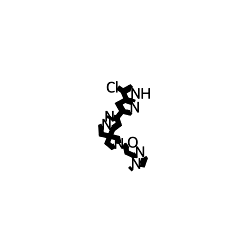 Cn1ccnc1CC(=O)N1CCC2(CCn3nc(-c4cnc5[nH]cc(Cl)c5c4)cc32)C1